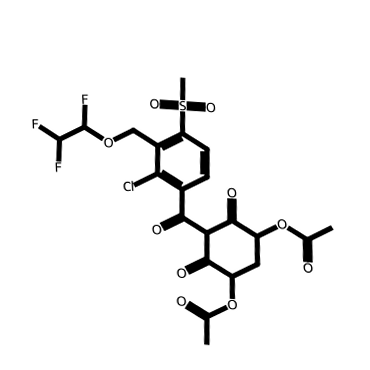 CC(=O)OC1CC(OC(C)=O)C(=O)C(C(=O)c2ccc(S(C)(=O)=O)c(COC(F)C(F)F)c2Cl)C1=O